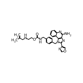 C=C(C)CNCCOC(=O)NCc1ccc(Cn2c(-c3cocn3)nc3c(N)nc4ccccc4c32)cc1